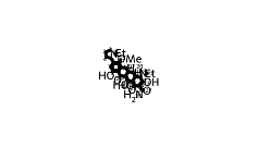 CCN1CCCC1c1cc(O)c2c(c1OC)C[C@H]1C[C@H]3[C@H](N(C)CC)C(O)=C(C(N)=O)C(=O)[C@@]3(O)C(O)=C1C2=O